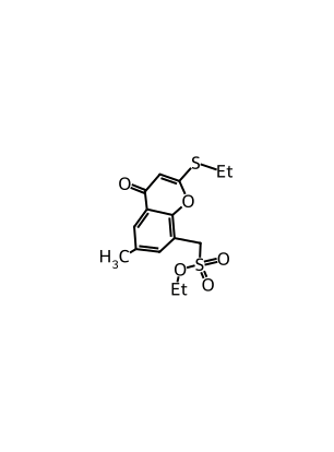 CCOS(=O)(=O)Cc1cc(C)cc2c(=O)cc(SCC)oc12